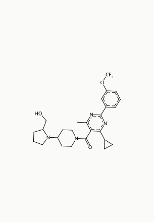 Cc1nc(-c2cccc(OC(F)(F)F)c2)nc(C2CC2)c1C(=O)N1CCC(N2CCCC2CO)CC1